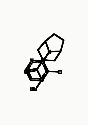 CC(C)(C)OC(=O)N1CC2CCC(C1)N2c1ncccc1Cl